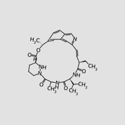 CC[C@@H]1/C=C/c2cc3cc(ccc3cn2)[C@@H](C)OC(=O)[C@@H]2CCCN(N2)C(=O)C(C)NC(=O)[C@H](C(C)C)NC1=O